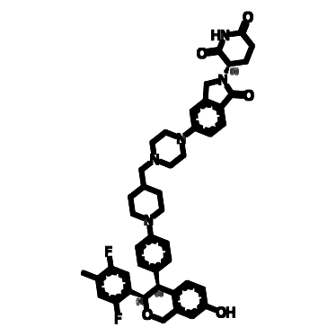 Cc1cc(F)c([C@@H]2OCc3cc(O)ccc3[C@@H]2c2ccc(N3CCC(CN4CCN(c5ccc6c(c5)CN([C@H]5CCC(=O)NC5=O)C6=O)CC4)CC3)cc2)cc1F